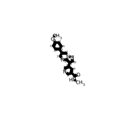 CNC(=O)c1cncc(-c2cnn3cc(-c4ccc(OC)cc4)cnc23)c1